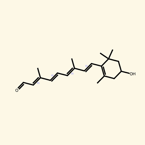 CC1=C(/C=C/C(C)=C/C=C/C(C)=C/C=O)C(C)(C)CC(O)C1